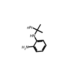 CCCC(C)(C)Nc1ccccc1N